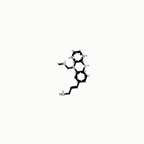 COCN1c2cc(C=CCO)ccc2Sc2nccnc21